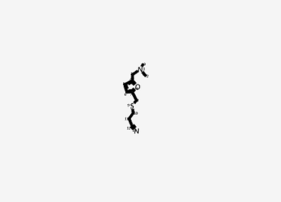 CN(C)Cc1ccc(CSCCC#N)o1